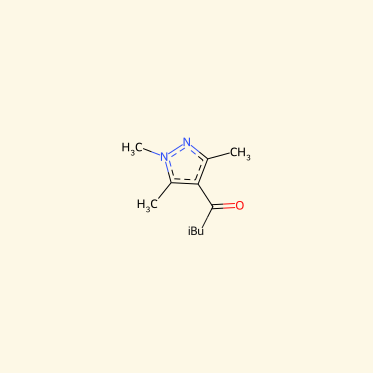 CCC(C)C(=O)c1c(C)nn(C)c1C